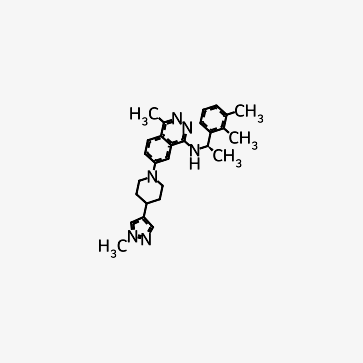 Cc1cccc([C@@H](C)Nc2nnc(C)c3ccc(N4CCC(c5cnn(C)c5)CC4)cc23)c1C